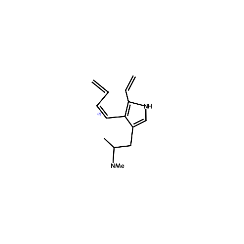 C=C/C=C\c1c(CC(C)NC)c[nH]c1C=C